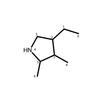 CCC1CNC(C)C1C